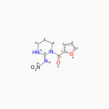 O=C(c1ccco1)N1CCCNC1=N[N+](=O)[O-]